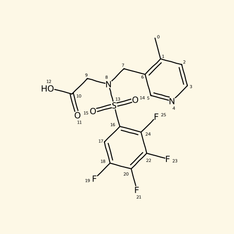 Cc1ccncc1CN(CC(=O)O)S(=O)(=O)c1cc(F)c(F)c(F)c1F